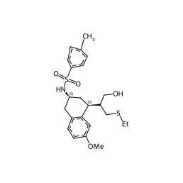 CCSCC(CO)[C@@H]1C[C@H](NS(=O)(=O)c2ccc(C)cc2)Cc2ccc(OC)cc21